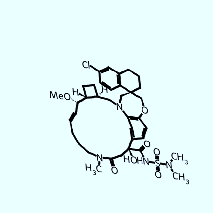 CO[C@H]1/C=C/CCCN(C)C(=O)C[C@@](O)(C(=O)NS(=O)(=O)N(C)C)c2ccc3c(c2)N(C[C@@H]2CC[C@H]21)C[C@@]1(CCCc2cc(Cl)ccc21)CO3